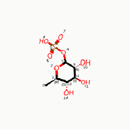 C[C@H]1OC(OS(=O)(=O)O)[C@H](O)[C@@H](O)[C@@H]1O